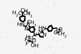 CN(c1ccc2c(c1)nc(Nc1ccc(C(C)(C)C)cc1)n2C)c1ccnc(Nc2ccc(CS(C)(=O)=O)cc2)n1.O=C(O)C(F)(F)F